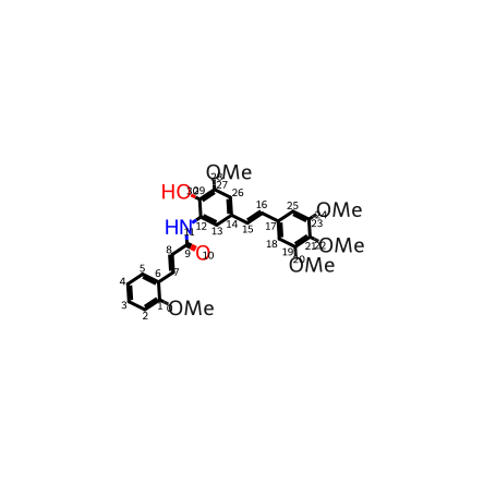 COc1ccccc1/C=C/C(=O)Nc1cc(/C=C/c2cc(OC)c(OC)c(OC)c2)cc(OC)c1O